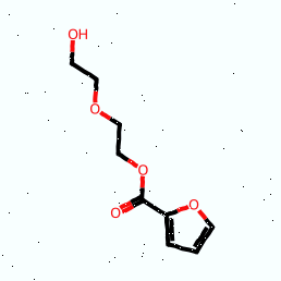 O=C(OCCOCCO)c1ccco1